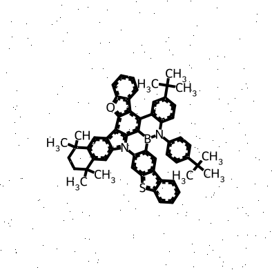 CC(C)(C)c1ccc(N2B3c4cc5c(cc4-n4c6cc7c(cc6c6c8oc9ccccc9c8c(c3c64)-c3cc(C(C)(C)C)ccc32)C(C)(C)CCC7(C)C)sc2ccccc25)cc1